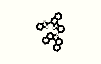 c1ccc2c(c1)cc(-c1nc3ccccc3o1)c1oc3c(-n4c5ccc6ccccc6c5c5c6ccccc6ccc54)cccc3c12